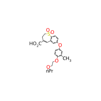 CCCOCCOc1ccc(Oc2ccc3c(c2)C=C(C(=O)O)CCS3(=O)=O)cc1C